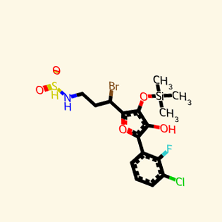 C[Si](C)(C)Oc1c(C(Br)CCN[SH](=O)=O)oc(-c2cccc(Cl)c2F)c1O